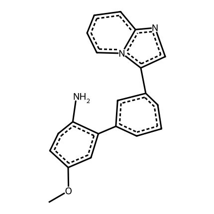 COc1ccc(N)c(-c2cccc(-c3cnc4ccccn34)c2)c1